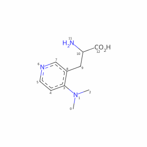 CN(C)c1ccncc1CC(N)C(=O)O